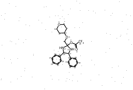 O=C(OC1(COC2CCOCC2)NC(c2ccccc2)C(c2ccccc2)N1)C(F)(F)F